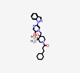 CC1(C)CN(C(=O)CCC2CCCCC2)CCC1(O)Cn1cc(-n2ncc3ccccc32)ncc1=O